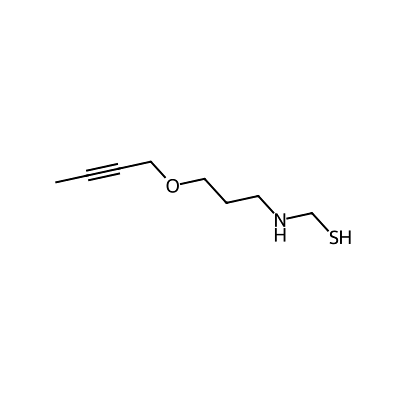 CC#CCOCCCNCS